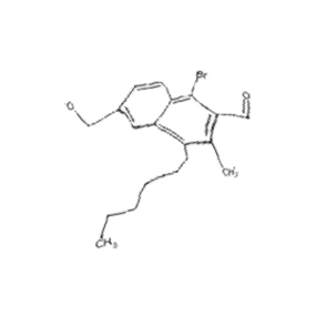 CCCCCc1c(C)c(C=O)c(Br)c2ccc(C[O])cc12